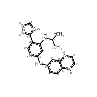 CC(C)Nc1cc(Nc2ccc3nccnc3c2)ncc1-c1nncs1